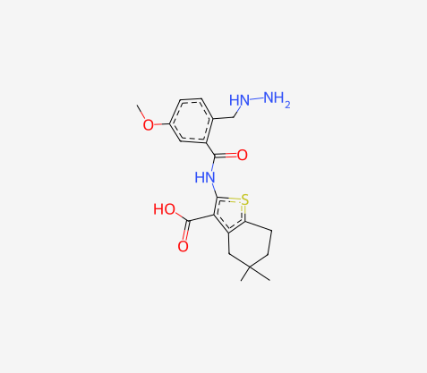 COc1ccc(CNN)c(C(=O)Nc2sc3c(c2C(=O)O)CC(C)(C)CC3)c1